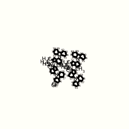 CC1=Cc2c(cccc2-n2c3ccccc3c3ccccc32)[CH]1[Zr+]([CH]1C(C)=Cc2c1cccc2-n1c2ccccc2c2ccccc21)[SiH](C)C.CC1=Cc2c(cccc2-n2c3ccccc3c3ccccc32)[CH]1[Zr+]([CH]1C(C)=Cc2c1cccc2-n1c2ccccc2c2ccccc21)[SiH](C)C.[Cl-].[Cl-]